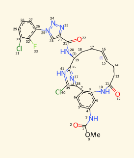 COC(=O)Nc1ccc2c(c1)NC(=O)CC/C=C/CC[C@H](NC(=O)c1cn(-c3cccc(Cl)c3F)nn1)c1nc-2c(Cl)[nH]1